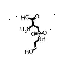 NC(CS(=O)(=O)NCCO)C(=O)O